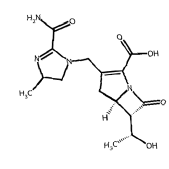 CC1CN(CC2=C(C(=O)O)N3C(=O)[C@H]([C@@H](C)O)[C@H]3C2)C(C(N)=O)=N1